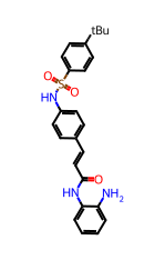 CC(C)(C)c1ccc(S(=O)(=O)Nc2ccc(/C=C/C(=O)Nc3ccccc3N)cc2)cc1